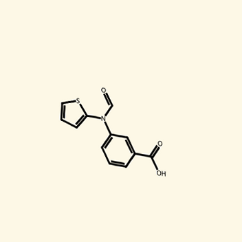 O=CN(c1cccc(C(=O)O)c1)c1cccs1